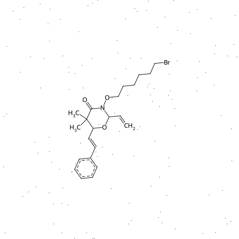 C=CC1OC(/C=C/c2ccccc2)C(C)(C)C(=O)N1OCCCCCCBr